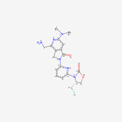 CCN(c1cc2c(c(CN)n1)CN(c1cccc(N3C(=O)OC[C@@H]3CF)n1)C2=O)C(C)C